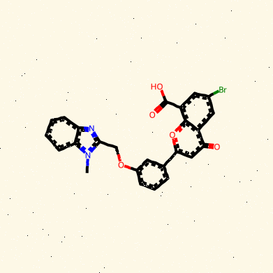 Cn1c(COc2cccc(-c3cc(=O)c4cc(Br)cc(C(=O)O)c4o3)c2)nc2ccccc21